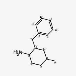 CC1CCC(N)C(Cc2ccccc2)C1